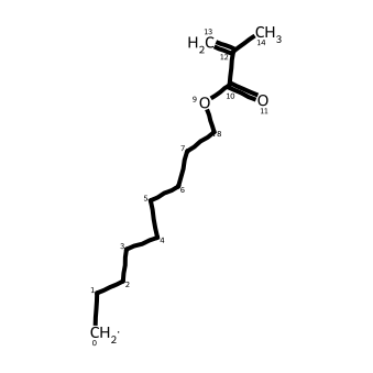 [CH2]CCCCCCC[CH]OC(=O)C(=C)C